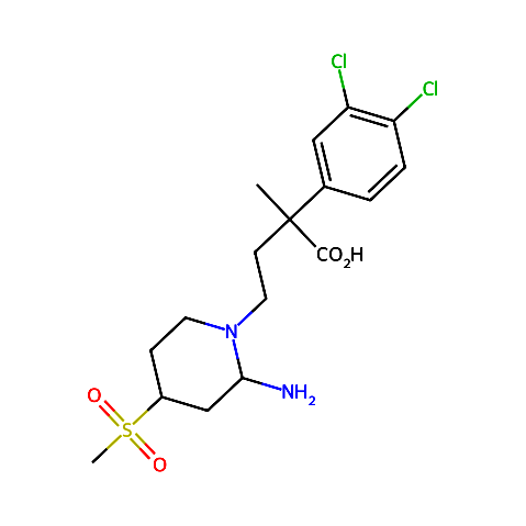 CC(CCN1CCC(S(C)(=O)=O)CC1N)(C(=O)O)c1ccc(Cl)c(Cl)c1